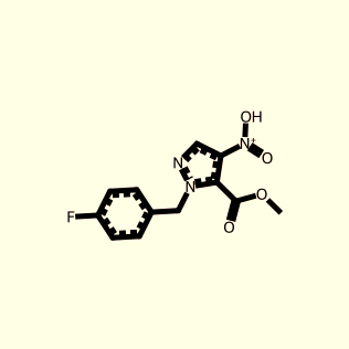 COC(=O)c1c([N+](=O)O)cnn1Cc1ccc(F)cc1